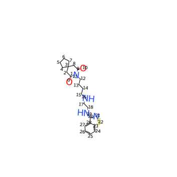 O=C1CC2(CCCC2)CC(=O)N1CCCCNCCNc1nsc2ccccc12